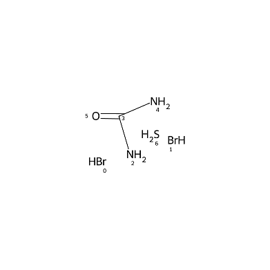 Br.Br.NC(N)=O.S